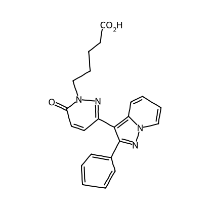 O=C(O)CCCCn1nc(-c2c(-c3ccccc3)nn3ccccc23)ccc1=O